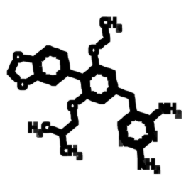 CCOc1cc(Cc2cnc(N)nc2N)cc(OCC(C)C)c1-c1ccc2c(c1)OCO2